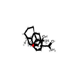 NC(=O)c1ccc2c(c1O)[C@]13CCC[C@H](C2)[C@]1(O)C=CC(O)C3